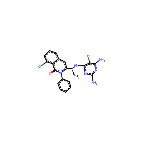 C[C@H](Nc1nc(N)nc(N)c1Cl)c1cc2cccc(Cl)c2c(=O)n1-c1ccccc1